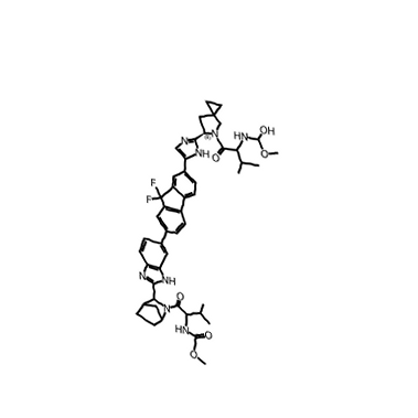 COC(=O)NC(C(=O)N1C2CCC(C2)C1c1nc2ccc(-c3ccc4c(c3)C(F)(F)c3cc(-c5cnc([C@H]6CC7(CC7)CN6C(=O)C(NC(O)OC)C(C)C)[nH]5)ccc3-4)cc2[nH]1)C(C)C